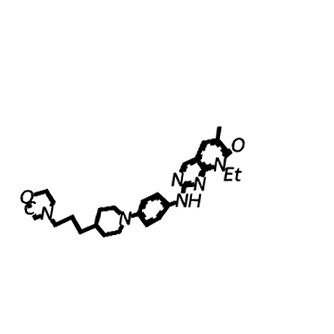 CCn1c(=O)c(C)cc2cnc(Nc3ccc(N4CCC(CCCN5CCOCC5)CC4)cc3)nc21